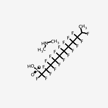 CC(F)C(F)(F)C(F)(F)C(F)(F)C(F)(F)C(F)(F)C(F)(F)C(F)(F)C(F)(F)C(F)(F)S(=O)(=O)O.CNC